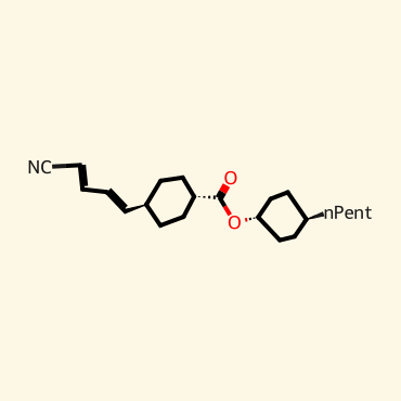 CCCCC[C@H]1CC[C@H](OC(=O)[C@H]2CC[C@H](C=CC=CC#N)CC2)CC1